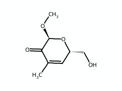 CO[C@H]1O[C@H](CO)C=C(C)C1=O